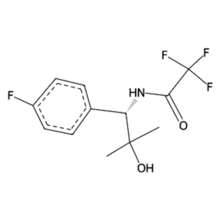 CC(C)(O)[C@@H](NC(=O)C(F)(F)F)c1ccc(F)cc1